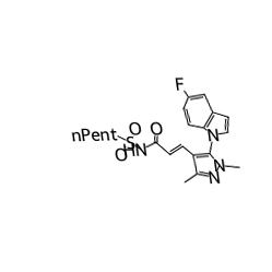 CCCCCS(=O)(=O)NC(=O)C=Cc1c(C)nn(C)c1-n1ccc2cc(F)ccc21